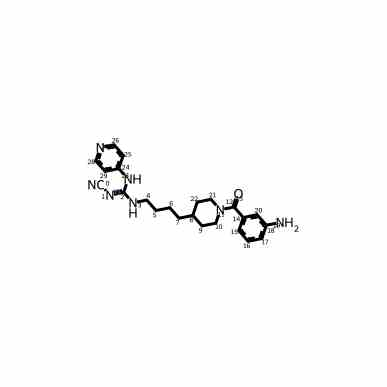 N#C/N=C(/NCCCCC1CCN(C(=O)c2cccc(N)c2)CC1)Nc1ccncc1